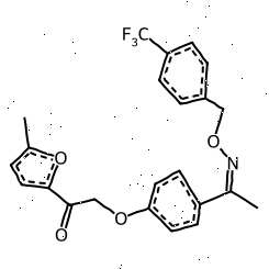 CC(=NOCc1ccc(C(F)(F)F)cc1)c1ccc(OCC(=O)c2ccc(C)o2)cc1